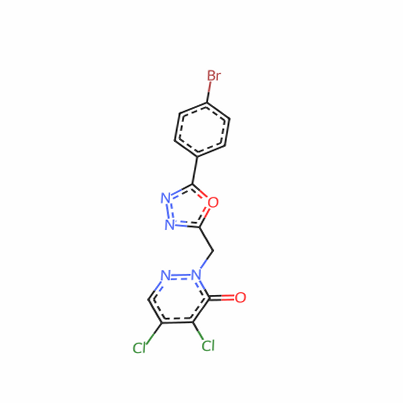 O=c1c(Cl)c(Cl)cnn1Cc1nnc(-c2ccc(Br)cc2)o1